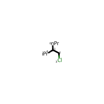 CCC[C](CCl)C(C)C